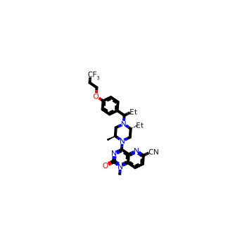 CCC(c1ccc(OCCC(F)(F)F)cc1)N1C[C@H](C)N(c2nc(=O)n(C)c3ccc(C#N)nc23)C[C@H]1CC